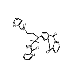 CC(C)(NC(=O)c1ccccn1)C(CCNCc1ccccn1)c1ccc2c(c1)C(=O)c1ccccc1C2=O